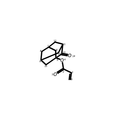 C=CC(=O)OC12CC3CC(CC(C3)C1=O)C2